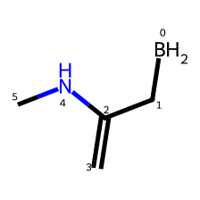 BCC(=C)NC